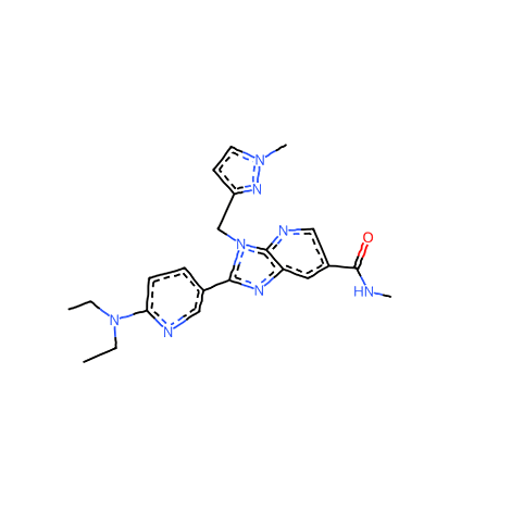 CCN(CC)c1ccc(-c2nc3cc(C(=O)NC)cnc3n2Cc2ccn(C)n2)cn1